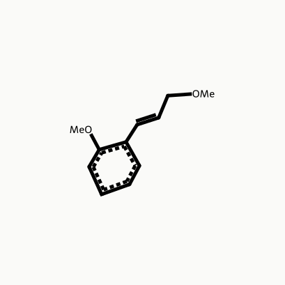 [CH2]OCC=Cc1ccccc1OC